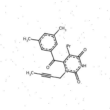 CC#CCn1c(C(=O)c2cc(C)cc(C)c2)c(C(C)C)c(=O)[nH]c1=O